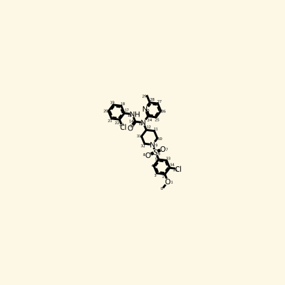 COc1ccc(S(=O)(=O)N2CCC(N(C(=O)Nc3ccccc3Cl)c3cccc(C)n3)CC2)cc1Cl